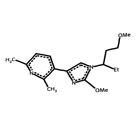 CCC(CCOC)n1cc(-c2ccc(C)nc2C)nc1OC